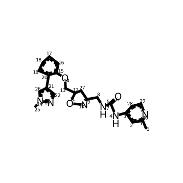 Cc1cc(NC(=O)NCC2=NOC(COc3ccccc3-c3cnn(C)c3)C2)ccn1